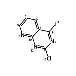 Clc1nc(I)c2cccnc2n1